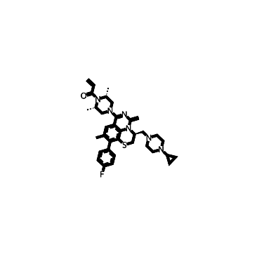 C=CC(=O)N1[C@H](C)CN(C2=NC(=C)N3c4c2cc(C)c(-c2ccc(F)cc2)c4SC[C@@H]3CN2CCN(C3CC3)CC2)C[C@@H]1C